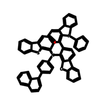 c1ccc(-n2c3ccccc3c3cccc(-c4ccc5c(oc6ccccc65)c4N(c4ccc(-c5cccc6ccccc56)cc4)c4cccc5c4sc4ccccc45)c32)cc1